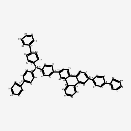 c1ccc(-c2ccc(-c3ccc4c5ccc(-c6ccc(N(c7ccc(-c8ccccc8)cc7)c7ccc(-c8ccccc8)cc7)cc6)cc5c5ccccc5c4c3)cc2)cc1